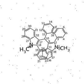 Cn1c(-c2ccccc2)c(C(c2ccccc2)c2c(-c3ccccc3)n(C)c3ccccc23)c2ccccc21